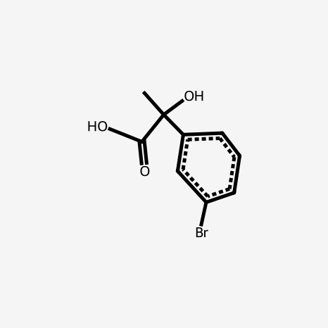 CC(O)(C(=O)O)c1cccc(Br)c1